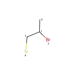 CC(Br)C[S]